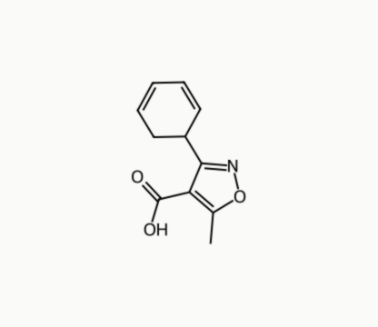 Cc1onc(C2C=CC=CC2)c1C(=O)O